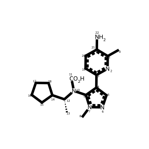 Cc1nc(-c2cnn(C)c2N(C(=O)O)[C@H](C)C2CCCC2)ccc1N